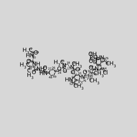 CCC1(C(=O)N2CCc3c2cc(OC(=O)N(C)CCN(C)C(=O)OCc2ccc(NC(=O)CNC(=O)C(NC(=O)CNC(C)=O)C(C)C)cc2)c2[nH]cc(C)c32)CC(C)(C(=O)N2C[C@@H](CCl)c3c2cc(OP(O)O)c2[nH]cc(C)c32)C1